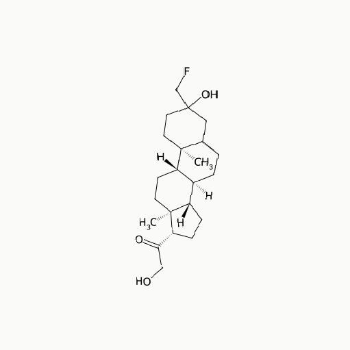 C[C@]12CC[C@H]3[C@@H](CCC4CC(O)(CF)CC[C@@]43C)[C@@H]1CC[C@@H]2C(=O)CO